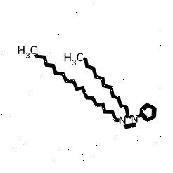 CCCCCCCCCCCCCCCCCCN1C=CN(c2ccccc2)C1CCCCCCCCCCCC